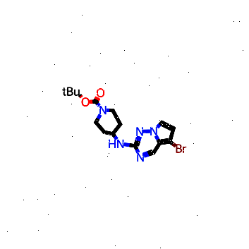 CC(C)(C)OC(=O)N1CCC(Nc2ncc3c(Br)ccn3n2)CC1